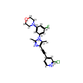 Cc1nc(C#Cc2ccnc(Cl)c2)c(C)n1-c1cc(F)cc(N2CCOCC2)c1